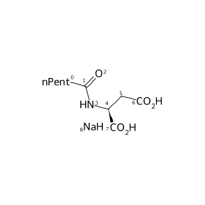 CCCCCC(=O)N[C@@H](CC(=O)O)C(=O)O.[NaH]